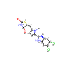 Cn1c(/C=C2/SC(=O)NC2=O)ccc1-c1nc2cc(Cl)c(Cl)cc2[nH]1